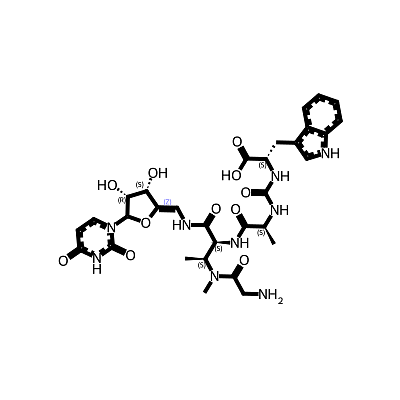 C[C@H](NC(=O)N[C@@H](Cc1c[nH]c2ccccc12)C(=O)O)C(=O)N[C@H](C(=O)N/C=C1\OC(n2ccc(=O)[nH]c2=O)[C@H](O)[C@@H]1O)[C@H](C)N(C)C(=O)CN